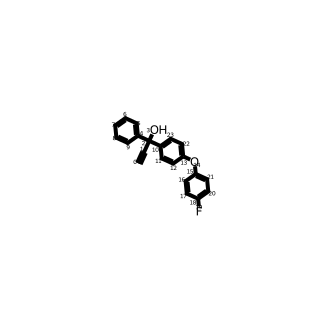 C#CC(O)(c1ccccc1)c1ccc(Oc2ccc(F)cc2)cc1